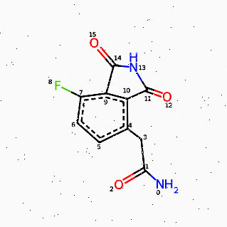 NC(=O)Cc1ccc(F)c2c1C(=O)NC2=O